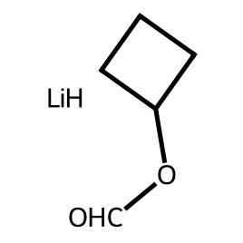 O=COC1CCC1.[LiH]